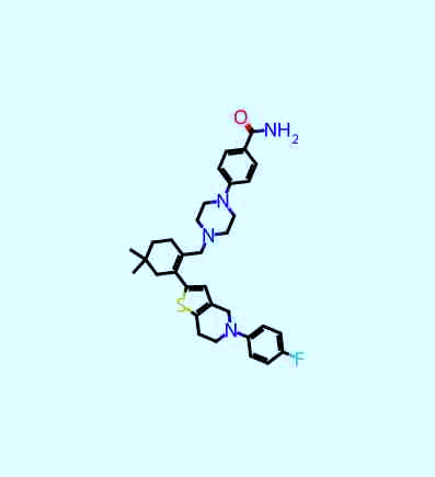 CC1(C)CCC(CN2CCN(c3ccc(C(N)=O)cc3)CC2)=C(c2cc3c(s2)CCN(c2ccc(F)cc2)C3)C1